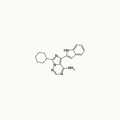 Nc1ncnn2c(C3CCCCC3)nc(-c3cc4ccccc4[nH]3)c12